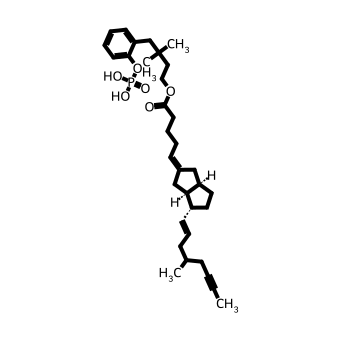 CC#CCC(C)C/C=C/[C@H]1CC[C@@H]2C/C(=C\CCCC(=O)OCCC(C)(C)Cc3ccccc3OP(=O)(O)O)C[C@@H]21